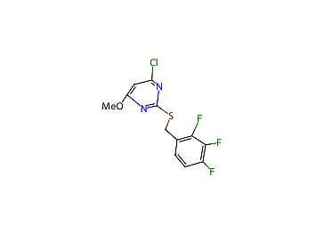 COc1cc(Cl)nc(SCc2ccc(F)c(F)c2F)n1